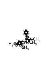 CCCc1c(C)nc(NCc2ccc(OC)cc2OC)nc1OCc1ccccc1